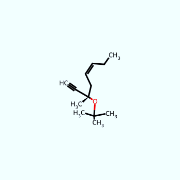 C#C[C@](C)(C/C=C\CC)OC(C)(C)C